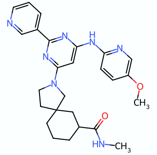 CNC(=O)C1CCCC2(CCN(c3cc(Nc4ccc(OC)cn4)nc(-c4cccnc4)n3)C2)C1